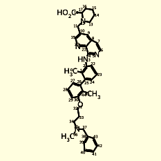 Cc1c(Nc2nccc3cc(CN4CCCCC4C(=O)O)cnc23)cccc1-c1cccc(OCCCN(C)Cc2ccccc2)c1C